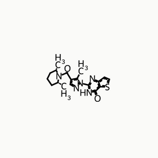 Cc1c(C(=O)N2[C@H](C)CCC[C@@H]2C)cnn1-c1nc2ccsc2c(=O)[nH]1